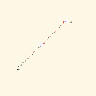 CC(=O)OC(CNC(=O)OCCOCCOCCOC(=O)NCCOCCOCCCCCCC(C)(C)SS)C(C)(C)C